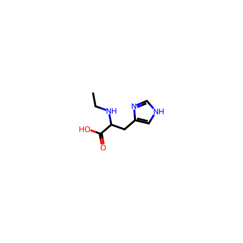 CCNC(Cc1c[nH]cn1)C(=O)O